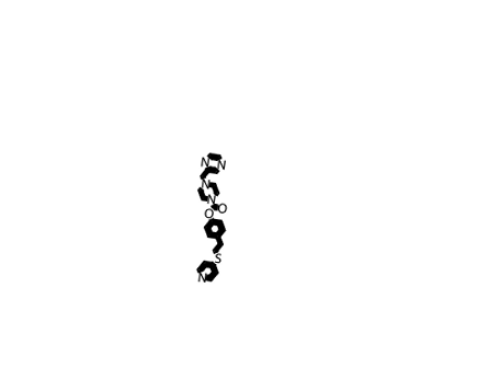 O=C(Oc1ccc(CCSc2ccncc2)cc1)N1CCN(Cc2cnccn2)CC1